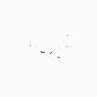 CNC(=O)CCC#CC1=CN(C2CC(OP(=O)(O)O)C(CO)O2)C(=O)NC1N